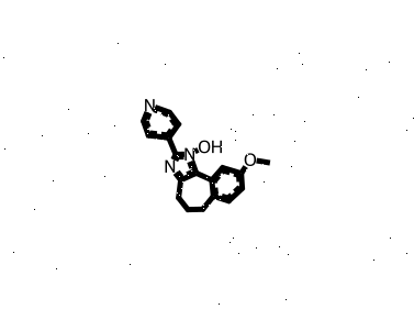 COc1ccc2c(c1)-c1c(nc(-c3ccncc3)n1O)CCC2